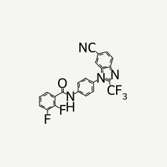 N#Cc1ccc2nc(C(F)(F)F)n(-c3ccc(NC(=O)c4cccc(F)c4F)cc3)c2c1